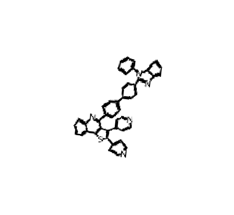 c1ccc(-n2c(-c3ccc(-c4ccc(-c5nc6ccccc6c6sc(-c7ccncc7)c(-c7ccncc7)c56)cc4)cc3)nc3ccccc32)cc1